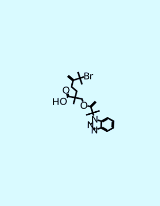 C=C(CCC(C)(COC(=C)C(C)(C)n1nnc2ccccc21)C(=O)O)C(C)(C)Br